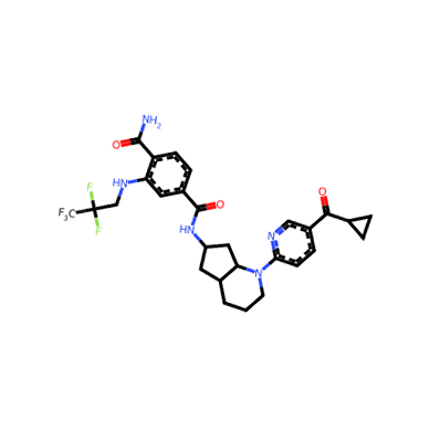 NC(=O)c1ccc(C(=O)NC2CC3CCCN(c4ccc(C(=O)C5CC5)cn4)C3C2)cc1NCC(F)(F)C(F)(F)F